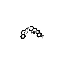 Fc1ccc2[nH]c(CC3CCN(CC4CCc5ccccc5O4)CC3)cc2c1